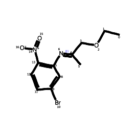 CCOC/C(C)=N/c1cc(Br)ccc1[N+](=O)[O-]